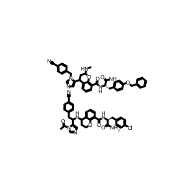 CC(=O)n1cncc1C(Cc1ccc(C#N)cc1)NC1CCOc2c(C(=O)N[C@@H](Cc3ccc(Cl)cc3)C(N)=O)cccc21.CNC1CC(c2cncn2Cc2ccc(C#N)cc2)c2cccc(C(=O)N[C@@H](Cc3ccc(OCc4ccccc4)cc3)C(N)=O)c2O1